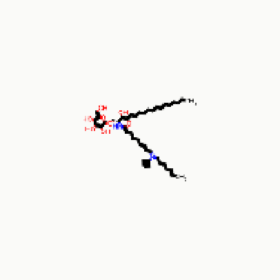 CCCCCCCCCCCCCCC[C@@H](O)[C@H](COC1OC(CO)C(O)C(O)C1O)NC(=O)CCCCCCCCN(CCCCCCC)C12CC(C1)C2